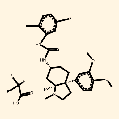 COc1ccc([C@@]23CC[C@@H](NC(=S)Nc4cc(F)ccc4C)C[C@@H]2N(C)CC3)cc1OC.O=C(O)C(F)(F)F